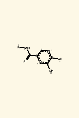 CC(C)NC(=O)c1cnc(O)c(O)n1